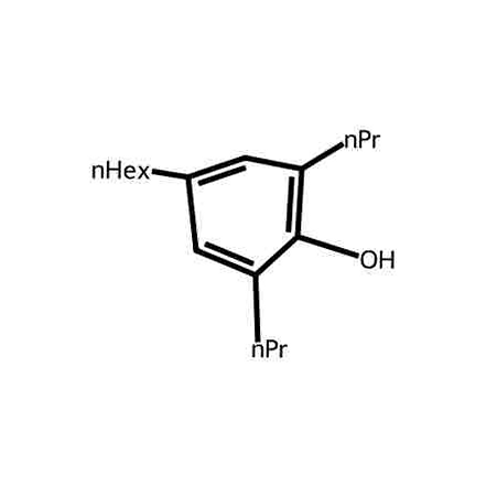 CCCCCCc1cc(CCC)c(O)c(CCC)c1